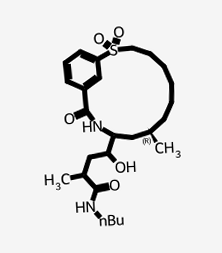 CCCCNC(=O)C(C)CC(O)C1C[C@H](C)CCCCCCS(=O)(=O)c2cccc(c2)C(=O)N1